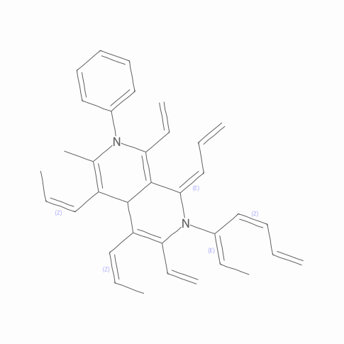 C=C/C=C\C(=C/C)N1C(C=C)=C(/C=C\C)C2C(/C=C\C)=C(C)N(c3ccccc3)C(C=C)=C2/C1=C\C=C